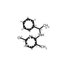 Cc1cnc(Cl)nc1NC(C)c1ccccc1